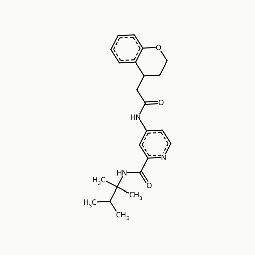 CC(C)C(C)(C)NC(=O)c1cc(NC(=O)CC2CCOc3ccccc32)ccn1